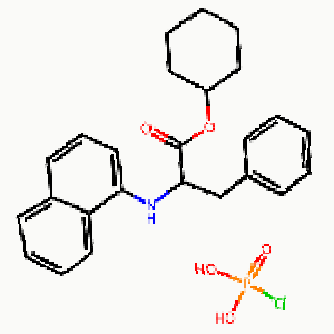 O=C(OC1CCCCC1)C(Cc1ccccc1)Nc1cccc2ccccc12.O=P(O)(O)Cl